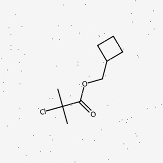 CC(C)(Cl)C(=O)OCC1CCC1